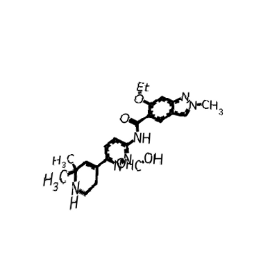 CCOc1cc2nn(C)cc2cc1C(=O)Nc1ccc(C2=CC(C)(C)NCC2)nn1.O=CO